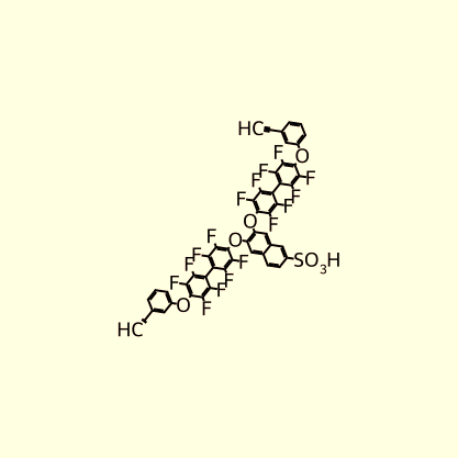 C#Cc1cccc(Oc2c(F)c(F)c(-c3c(F)c(F)c(Oc4cc5ccc(S(=O)(=O)O)cc5cc4Oc4c(F)c(F)c(-c5c(F)c(F)c(Oc6cccc(C#C)c6)c(F)c5F)c(F)c4F)c(F)c3F)c(F)c2F)c1